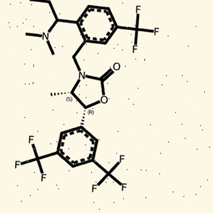 CCC(c1ccc(C(F)(F)F)cc1CN1C(=O)O[C@H](c2cc(C(F)(F)F)cc(C(F)(F)F)c2)[C@@H]1C)N(C)C